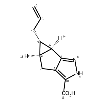 C=CC[C@H]1[C@@H]2Cc3c(n[nH]c3C(=O)O)[C@H]12